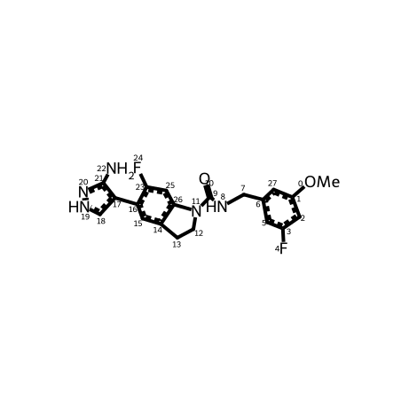 COc1cc(F)cc(CNC(=O)N2CCc3cc(-c4c[nH]nc4N)c(F)cc32)c1